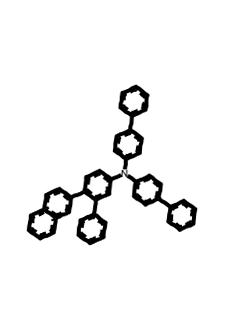 c1ccc(-c2ccc(N(c3ccc(-c4ccccc4)cc3)c3ccc(-c4ccc5ccccc5c4)c(-c4ccccc4)c3)cc2)cc1